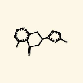 Cc1ccnc2c1C(=O)CC(c1ccc(Cl)s1)C2